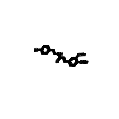 CCc1ccc(CCNC(=O)C=Cc2ccc(OC)c(OC)c2)cc1